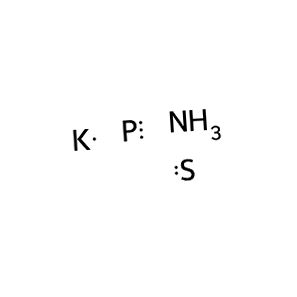 N.[K].[P].[S]